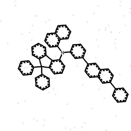 c1ccc(-c2ccc3cc(-c4cccc(N(c5cccc6c5-c5ccccc5C6(c5ccccc5)c5ccccc5)c5cccc6ccccc56)c4)ccc3c2)cc1